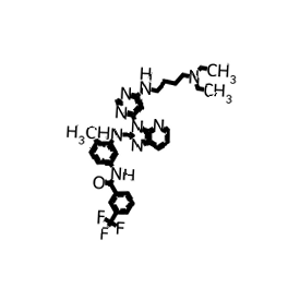 CCN(CC)CCCCNc1cc(-n2c(Nc3cc(NC(=O)c4cccc(C(F)(F)F)c4)ccc3C)nc3cccnc32)ncn1